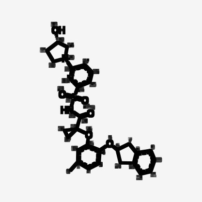 Cc1ccc(OC2Cc3ccccc3C2)c(OC2(C(=O)NS(=O)(=O)c3cccc(N4CC[C@H](O)C4)n3)CC2)c1